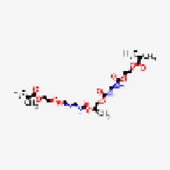 C=C(C)C(=O)OCCOO/C=N/CNC(=O)OC(C)COC(=O)NCNC(=O)OCCOC(=O)C(=C)C